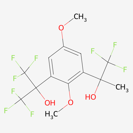 COc1cc(C(C)(O)C(F)(F)F)c(OC)c(C(O)(C(F)(F)F)C(F)(F)F)c1